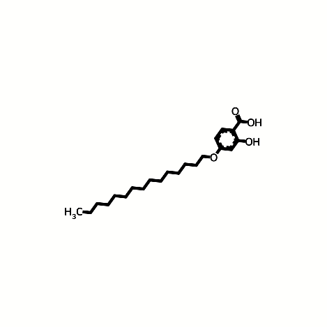 CCCCCCCCCCCCCCCOc1ccc(C(=O)O)c(O)c1